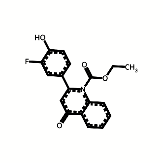 CCOC(=O)n1c(-c2ccc(O)c(F)c2)cc(=O)c2ccccc21